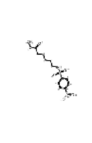 COC(=O)CCCCCNS(=O)(=O)c1ccc([N+](=O)[O-])cc1